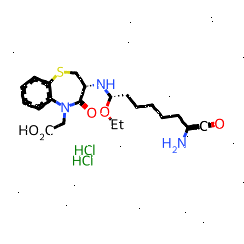 CCO[C@@H](CCCCCC(N)=C=O)N[C@H]1CSc2ccccc2N(CC(=O)O)C1=O.Cl.Cl